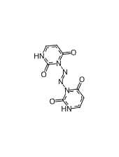 O=c1cc[nH]c(=O)n1N=Nn1c(=O)cc[nH]c1=O